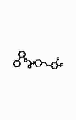 O=C(COc1ccccc1-c1ccccc1)N1CCC(CCc2ccc(F)c(F)c2)CC1